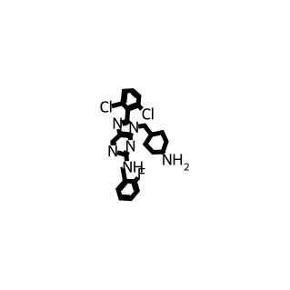 NC1CCC(Cn2c(-c3c(Cl)cccc3Cl)nc3cnc(NCc4ccccc4F)nc32)CC1